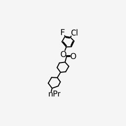 CCCC1CCC(C2CCC(C(=O)Oc3ccc(Cl)c(F)c3)CC2)CC1